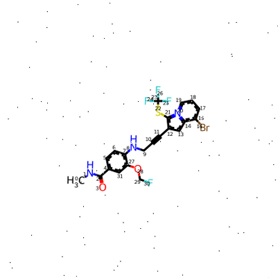 CNC(=O)c1ccc(NCC#Cc2cc3c(Br)cccn3c2SC(F)(F)F)c(OCF)c1